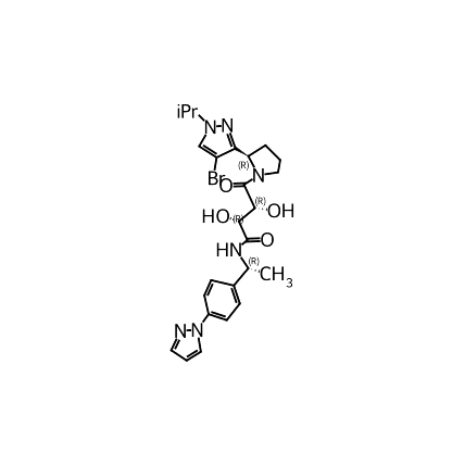 CC(C)n1cc(Br)c([C@H]2CCCN2C(=O)[C@H](O)[C@@H](O)C(=O)N[C@H](C)c2ccc(-n3cccn3)cc2)n1